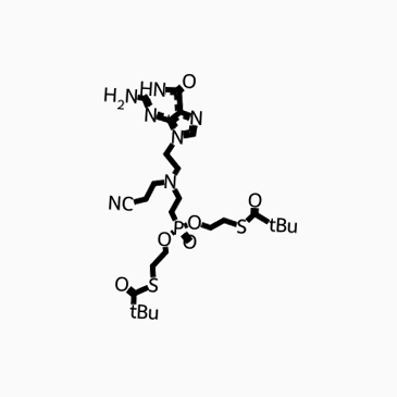 CC(C)(C)C(=O)SCCOP(=O)(CCN(CCC#N)CCn1cnc2c(=O)[nH]c(N)nc21)OCCSC(=O)C(C)(C)C